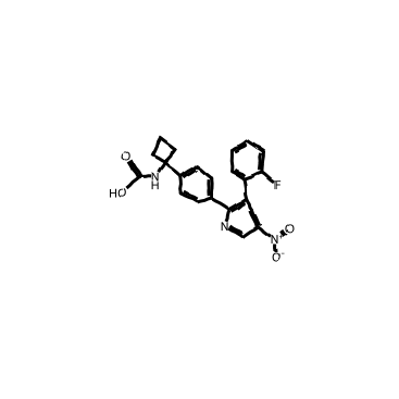 O=C(O)NC1(c2ccc(-c3ncc([N+](=O)[O-])cc3-c3ccccc3F)cc2)CCC1